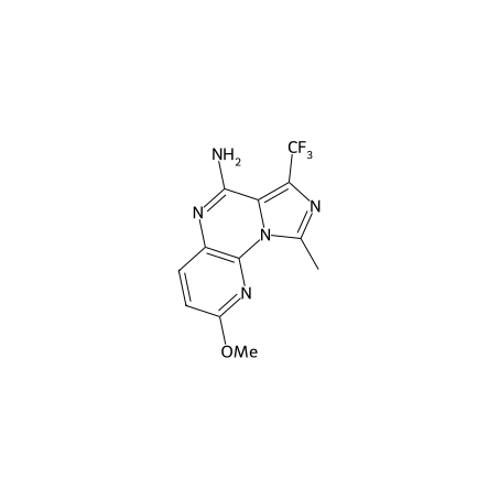 COc1ccc2nc(N)c3c(C(F)(F)F)nc(C)n3c2n1